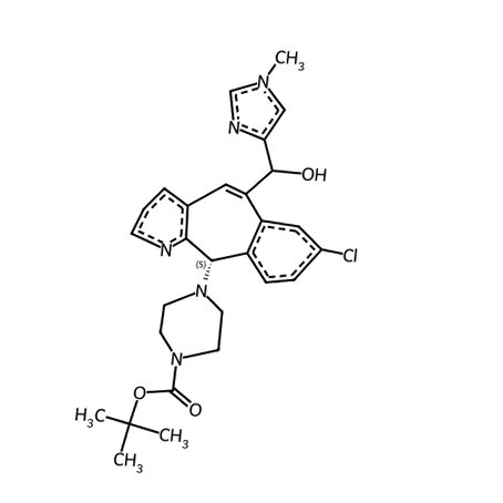 Cn1cnc(C(O)C2=Cc3cccnc3[C@@H](N3CCN(C(=O)OC(C)(C)C)CC3)c3ccc(Cl)cc32)c1